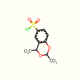 O=S(=O)(Cl)c1ccc2c(c1)C(C(Cl)(Cl)Cl)OC(C(Cl)(Cl)Cl)O2